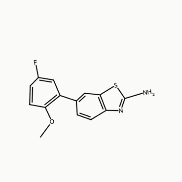 COc1ccc(F)cc1-c1ccc2nc(N)sc2c1